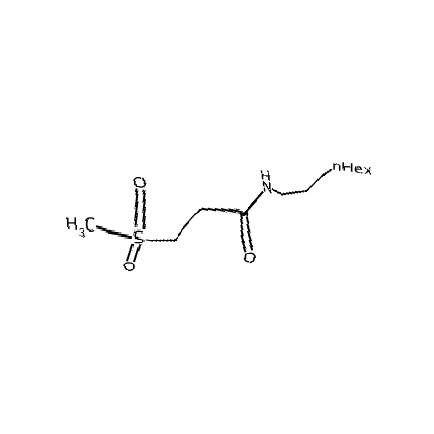 CCCCCCCNC(=O)CCS(C)(=O)=O